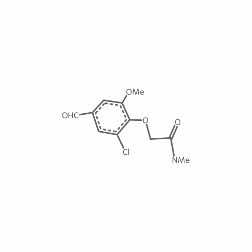 CNC(=O)COc1c(Cl)cc(C=O)cc1OC